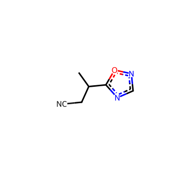 CC(CC#N)c1ncno1